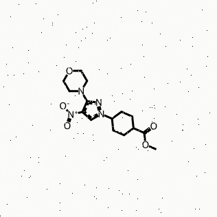 COC(=O)C1CCC(n2cc([N+](=O)[O-])c(N3CCOCC3)n2)CC1